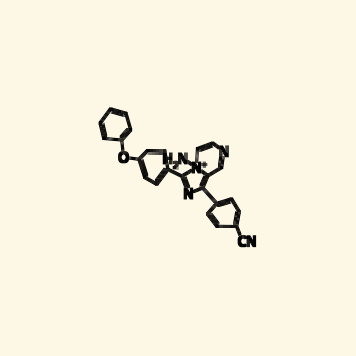 N#Cc1ccc(C2=C3C=NC=C[N+]3(N)C(c3ccc(Oc4ccccc4)cc3)=N2)cc1